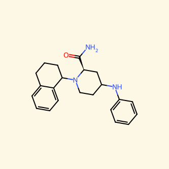 NC(=O)[C@H]1CC(Nc2ccccc2)CCN1C1CCCc2ccccc21